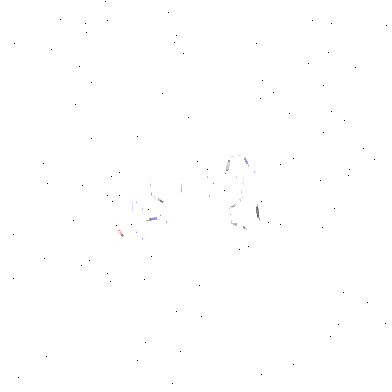 CC(=O)Nc1nc(C2CCN(c3cc(C)nn3-c3cccc(Cl)c3)CC2)c(C)[nH]1